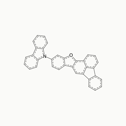 c1ccc2c(c1)-c1cccc3c1c-2cc1c2ccc(-n4c5ccccc5c5ccccc54)cc2oc31